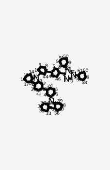 C1=NC(c2ccc(-c3cccc(-n4c5ccccc5c5ccc(-c6cccc(-n7c8ccccc8c8ccccc87)c6)cc54)c3)cc2)N(c2ccccc2)CN1c1ccccc1